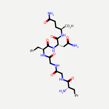 CC(C)C[C@H](NC(=O)CNC(=O)CNC(=O)[C@@H](N)CC(C)C)C(=O)N[C@@H](CC(N)=O)C(=O)N[C@@H](CCC(N)=O)C(=O)O